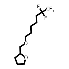 FC(F)(F)C(F)(F)CCCCCOCC1CCCO1